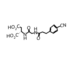 N#Cc1ccc(CCC(=O)NCC(=O)N[C@@H](CC(=O)O)C(=O)O)cc1